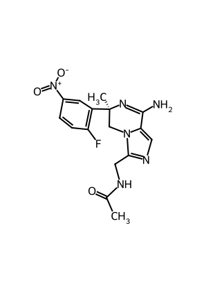 CC(=O)NCc1ncc2n1C[C@@](C)(c1cc([N+](=O)[O-])ccc1F)N=C2N